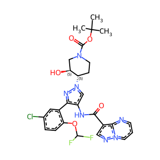 CC(C)(C)OC(=O)N1CC[C@H](n2cc(NC(=O)c3cnn4cccnc34)c(-c3cc(Cl)ccc3OC(F)F)n2)[C@@H](O)C1